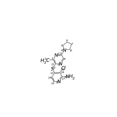 Cc1nc(N2CCCC2)cnc1Sc1ccnc(N)c1Cl